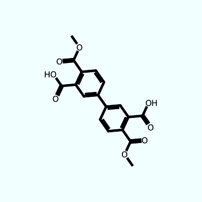 COC(=O)c1ccc(-c2ccc(C(=O)OC)c(C(=O)O)c2)cc1C(=O)O